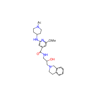 COc1cc(C(=O)NCC(O)CN2CCc3ccccc3C2)cc(NC2CCN(C(C)=O)CC2)n1